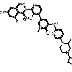 CC1CN(C2COC2)CCN1c1ccc(Nc2cc(-c3ccnc(-n4ncc5cc(C(C)(C)C)cc(F)c5c4=O)c3C=O)cn(C)c2=O)nc1